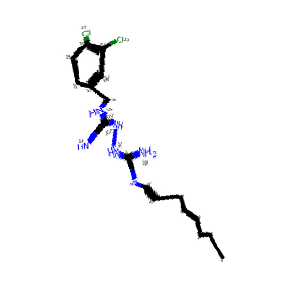 CCCCCCCC/N=C(\N)NNC(=N)NCc1ccc(Cl)c(Cl)c1